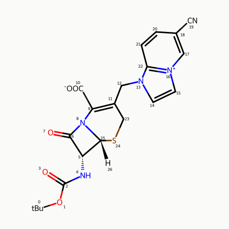 CC(C)(C)OC(=O)N[C@@H]1C(=O)N2C(C(=O)[O-])=C(Cn3cc[n+]4cc(C#N)ccc34)CS[C@H]12